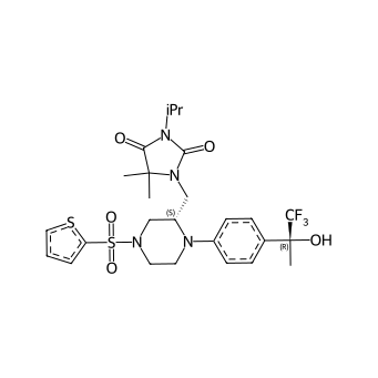 CC(C)N1C(=O)N(C[C@H]2CN(S(=O)(=O)c3cccs3)CCN2c2ccc([C@@](C)(O)C(F)(F)F)cc2)C(C)(C)C1=O